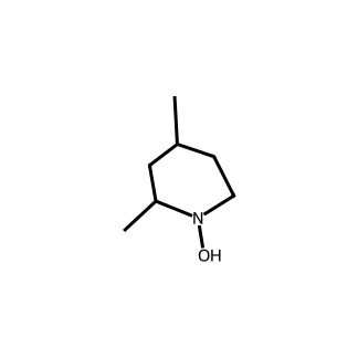 CC1CCN(O)C(C)C1